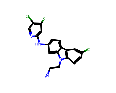 NCCn1c2ccc(Cl)cc2c2ccc(Nc3cc(Cl)c(Cl)cn3)cc21